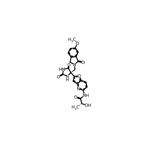 COc1ccc2c(c1)C(=O)N(C[C@@]1(c3cc4nc(NC(=O)[C@@H](C)O)ccc4o3)NC(=O)NC1=O)C2